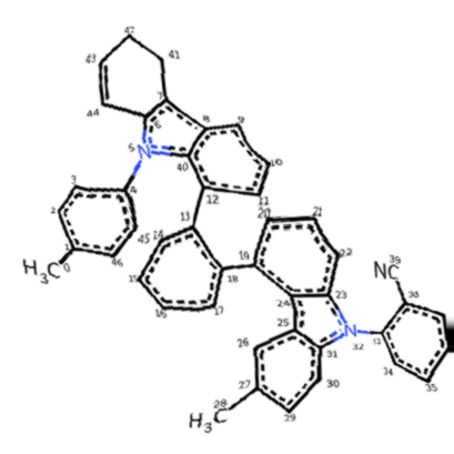 Cc1ccc(-n2c3c(c4cccc(-c5ccccc5-c5cccc6c5c5cc(C)ccc5n6-c5ccccc5C#N)c42)CCC=C3)cc1